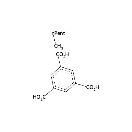 CCCCCC.O=C(O)c1cc(C(=O)O)cc(C(=O)O)c1